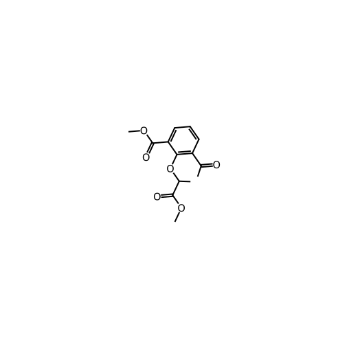 COC(=O)c1cccc(C(C)=O)c1OC(C)C(=O)OC